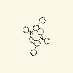 c1ccc(-c2ccc3c4cc(ccc24)n(-c2ccccc2)c2ccc(-c4ccccc4)c4ccc(cc42)n3-c2ccccc2)cc1